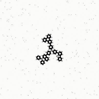 c1ccc(N(c2ccccc2)c2ccc(-c3ccc(N(c4ccc(-c5ccc6c7ccccc7c7ccccc7c6c5)cc4)c4ccc(-c5cccc6c5oc5ccccc56)cc4)cc3)c3ccccc23)cc1